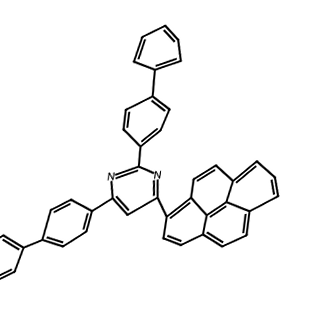 c1ccc(-c2ccc(-c3nc(-c4ccc(-c5cccnc5)cc4)cc(-c4ccc5ccc6cccc7ccc4c5c67)n3)cc2)cc1